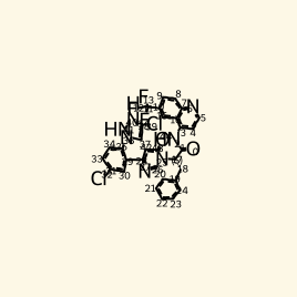 O=C(Nc1ccnc2ccc(C(F)(F)F)cc12)[C@H](Cc1ccccc1)n1cnc(-c2cc(Cl)ccc2N2C=C(Cl)NN2)cc1=O